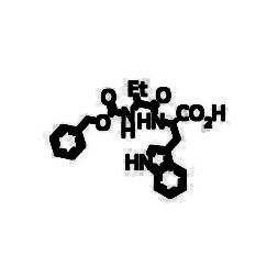 CCC(NC(=O)OCc1ccccc1)C(=O)N[C@@H](Cc1c[nH]c2ccccc12)C(=O)O